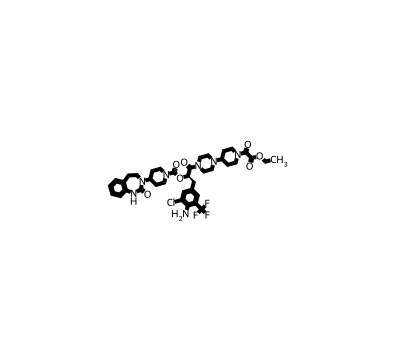 CCOC(=O)C(=O)N1CCC(N2CCN(C(=O)[C@@H](Cc3cc(Cl)c(N)c(C(F)(F)F)c3)OC(=O)N3CCC(N4CCc5ccccc5NC4=O)CC3)CC2)CC1